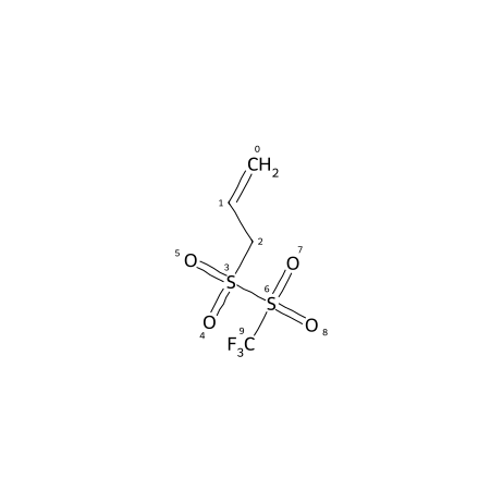 C=CCS(=O)(=O)S(=O)(=O)C(F)(F)F